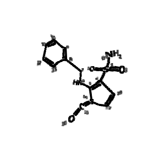 NS(=O)(=O)C1=C(NCc2ccccc2)S(=C=O)C=C1